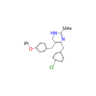 CSC1=NC(Cc2ccc(Cl)cc2)=C(Cc2ccc(OC(C)C)cc2)CN1